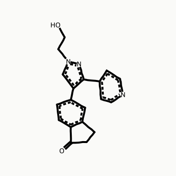 O=C1CCc2cc(-c3cn(CCO)nc3-c3ccncc3)ccc21